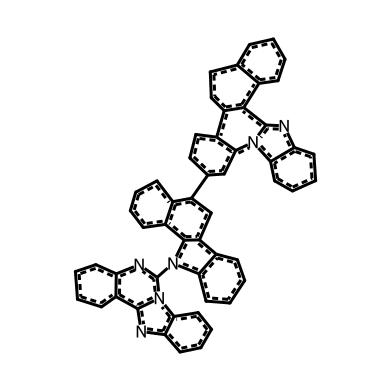 c1ccc2c(c1)ccc1c3ccc(-c4cc5c6ccccc6n(-c6nc7ccccc7c7nc8ccccc8n67)c5c5ccccc45)cc3n3c4ccccc4nc3c21